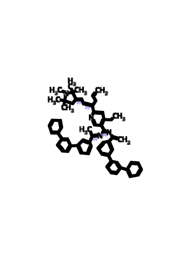 C=CC/C(=C\C=C1/CC(C)(C)N(C)C1(C)C)c1cc(CC)c(C(=N/C(=C)c2cccc(-c3cccc(-c4ccccc4)c3)c2)/N=C(\C)c2cccc(-c3cccc(-c4ccccc4)c3)c2)cn1